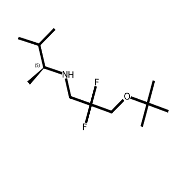 CC(C)[C@H](C)NCC(F)(F)COC(C)(C)C